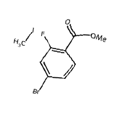 CI.COC(=O)c1ccc(Br)cc1F